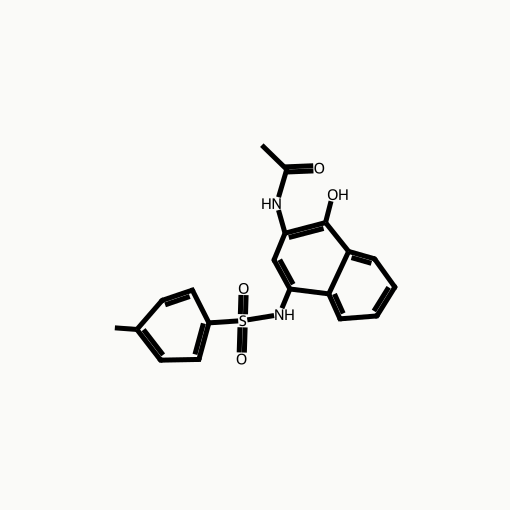 CC(=O)Nc1cc(NS(=O)(=O)c2ccc(C)cc2)c2ccccc2c1O